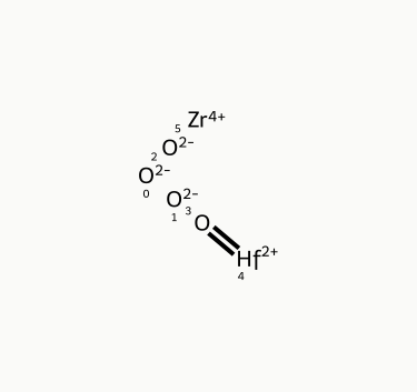 [O-2].[O-2].[O-2].[O]=[Hf+2].[Zr+4]